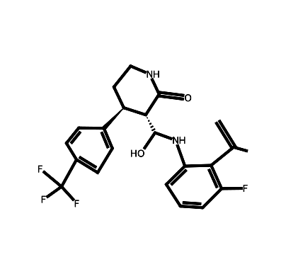 C=C(C)c1c(F)cccc1NC(O)[C@H]1C(=O)NCC[C@@H]1c1ccc(C(F)(F)F)cc1